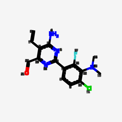 C=Cc1c(N)nc(-c2ccc(Cl)c(N(C)C)c2F)nc1C=O